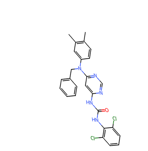 Cc1ccc(N(Cc2ccccc2)c2cc(NC(=O)Nc3c(Cl)cccc3Cl)ncn2)cc1C